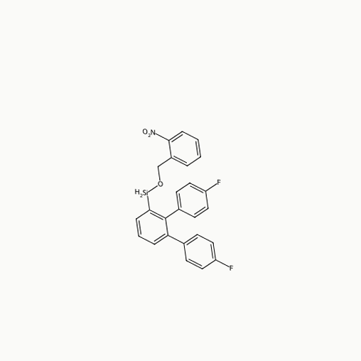 O=[N+]([O-])c1ccccc1CO[SiH2]c1cccc(-c2ccc(F)cc2)c1-c1ccc(F)cc1